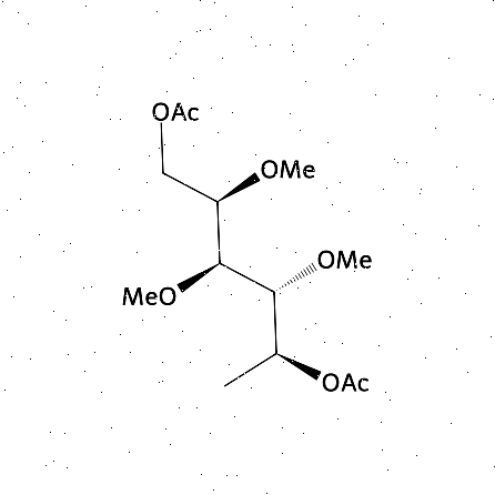 CO[C@H]([C@H](OC)[C@H](C)OC(C)=O)[C@@H](COC(C)=O)OC